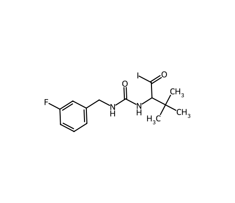 CC(C)(C)C(NC(=O)NCc1cccc(F)c1)C(=O)I